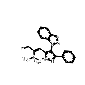 CN(C)/C(=C\c1[nH]nc(-c2ccccc2)c1-n1nnc2ccccc21)CF